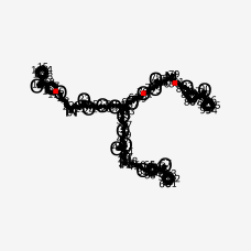 CN(CCCOc1ccc(C(=O)c2ccccc2)cc1)CCC(=O)OCCOCCOCC(C)(COCCOCCOC(=O)CCN(C)CCCOc1ccc(C(=O)c2ccccc2)cc1)COCCOCCOC(=O)CCN(C)CCCOc1cccc(C(=O)c2ccccc2)c1